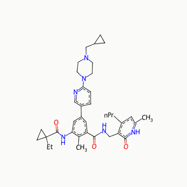 CCCc1cc(C)[nH]c(=O)c1CNC(=O)c1cc(-c2ccc(N3CCN(CC4CC4)CC3)nc2)cc(NC(=O)C2(CC)CC2)c1C